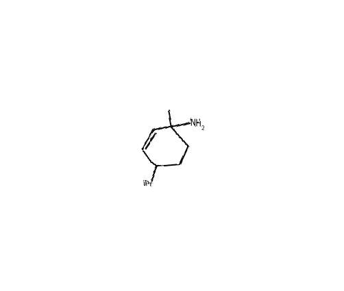 CC(C)C1C=CC(C)(N)CC1